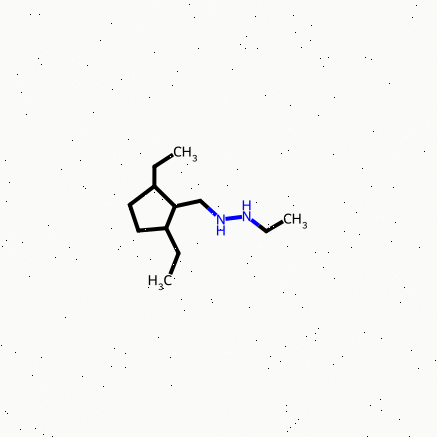 CCNNCC1C(CC)CCC1CC